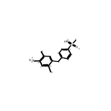 Cc1cc(Cc2ccc(S(C)(=N)=O)cc2)c(C)cc1N